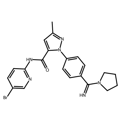 Cc1cc(C(=O)Nc2ccc(Br)cn2)n(-c2ccc(C(=N)N3CCCC3)cc2)n1